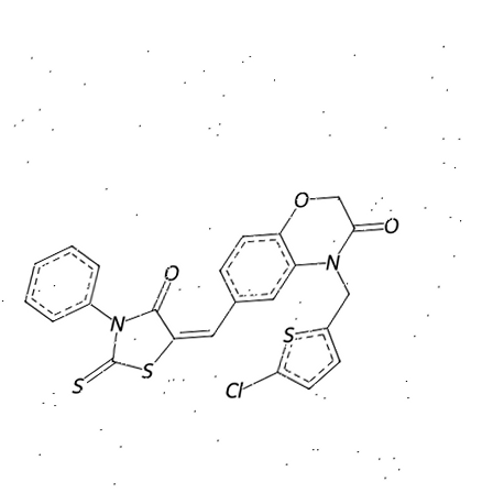 O=C1COc2ccc(C=C3SC(=S)N(c4ccccc4)C3=O)cc2N1Cc1ccc(Cl)s1